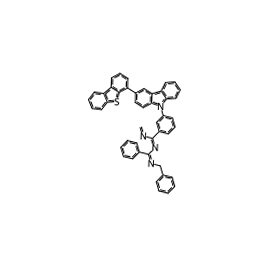 C=N/C(=N\C(=N/Cc1ccccc1)c1ccccc1)c1cccc(-n2c3ccccc3c3cc(-c4cccc5c4sc4ccccc45)ccc32)c1